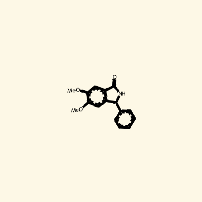 COc1cc2c(cc1OC)C(c1ccccc1)NC2=O